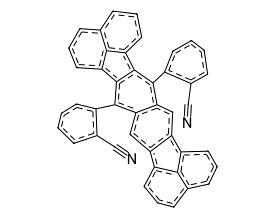 N#Cc1ccccc1-c1c2cc3c(cc2c(-c2ccccc2C#N)c2c4cccc5cccc(c12)c54)c1cccc2cccc3c21